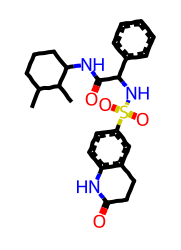 CC1CCCC(NC(=O)C(NS(=O)(=O)c2ccc3c(c2)CCC(=O)N3)c2ccccc2)C1C